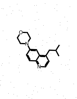 CC(C)Cc1ccnc2ccc(N3CCOCC3)cc12